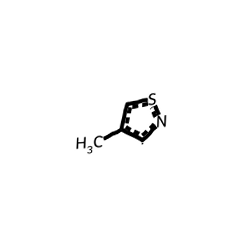 Cc1[c]nsc1